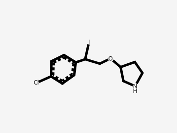 Clc1ccc(C(I)COC2CCNC2)cc1